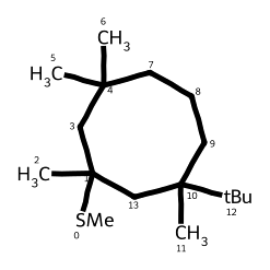 CSC1(C)CC(C)(C)CCCC(C)(C(C)(C)C)C1